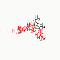 CO.CO.CO.O.O.O.O.O.O.O